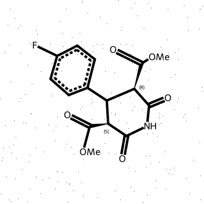 COC(=O)[C@H]1C(=O)NC(=O)[C@@H](C(=O)OC)C1c1ccc(F)cc1